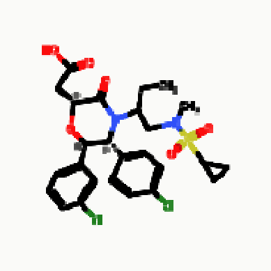 CCC(CN(C)S(=O)(=O)C1CC1)N1C(=O)[C@H](CC(=O)O)O[C@H](c2cccc(Cl)c2)[C@H]1c1ccc(Cl)cc1